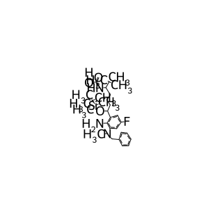 CN(Cc1ccccc1)c1cc(F)cc(C(CCCC(NC(=O)O)C(C)(C)C)O[Si](C)(C)C(C)(C)C)c1N